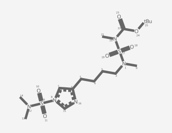 CN(CCCCc1cn(S(=O)(=O)N(C)C)cn1)S(=O)(=O)N(C)C(=O)OC(C)(C)C